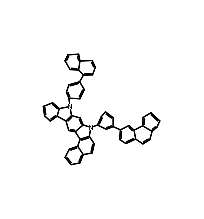 c1cc(-c2ccc3ccc4ccccc4c3c2)cc(-n2c3cc4c(cc3c3c5ccccc5ccc32)c2ccccc2n4-c2ccc(-c3cccc4ccccc34)cc2)c1